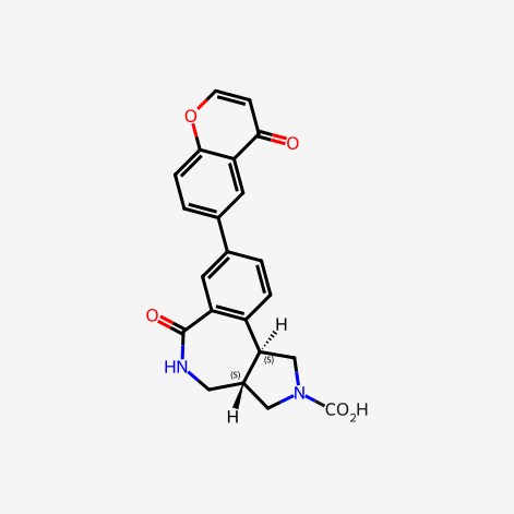 O=C1NC[C@H]2CN(C(=O)O)C[C@@H]2c2ccc(-c3ccc4occc(=O)c4c3)cc21